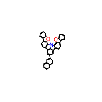 c1ccc2cc(-c3cc4c5ccc6c7ccccc7oc6c5n5c4c(c3)c3ccc4c6ccccc6oc4c35)ccc2c1